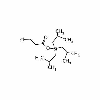 CC(C)C[Si](CC(C)C)(CC(C)C)OC(=O)CCCl